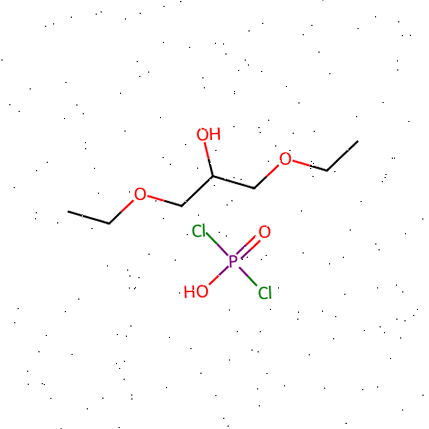 CCOCC(O)COCC.O=P(O)(Cl)Cl